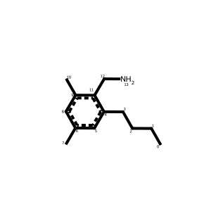 CCCCc1cc(C)cc(C)c1CN